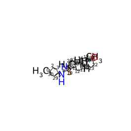 Cc1ccc(Nc2nc3c(s2)C2CC[C@@H]4[C@H](CC[C@]5(C)C(=O)CC[C@@H]45)[C@@]2(C)CC3)cc1